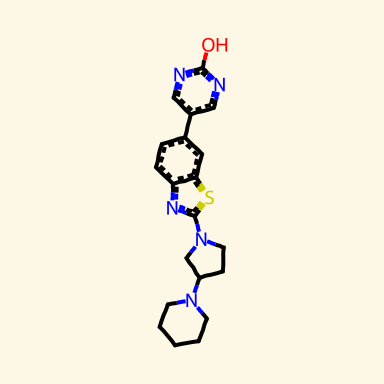 Oc1ncc(-c2ccc3nc(N4CCC(N5CCCCC5)C4)sc3c2)cn1